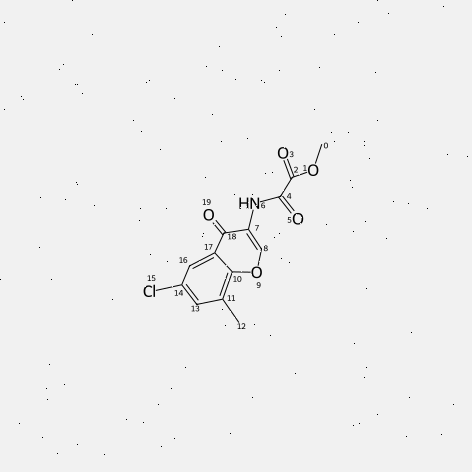 COC(=O)C(=O)Nc1coc2c(C)cc(Cl)cc2c1=O